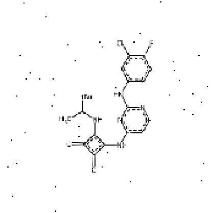 CC(Nc1c(Nc2ccnc(Nc3ccc(F)c(Cl)c3)n2)c(=O)c1=O)C(C)(C)C